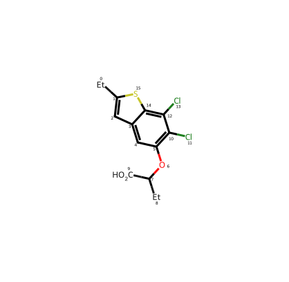 CCc1cc2cc(OC(CC)C(=O)O)c(Cl)c(Cl)c2s1